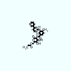 C=CC(=O)OC[C@H]1OC(=O)[C@H](NC(=O)c2ccc(C)c(Nc3nccc(-c4cccnc4)n3)c2)[C@@H](O)[C@@H]1O